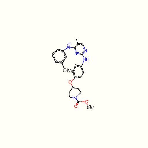 COc1cccc(Nc2nc(Nc3ccc(OC4CCN(C(=O)OC(C)(C)C)CC4)cc3)ncc2C)c1